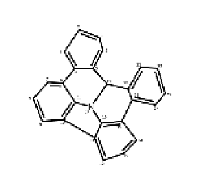 c1ccc2c(c1)-c1cccc3c4cccc5c4n(c13)C2c1ccccc1-5